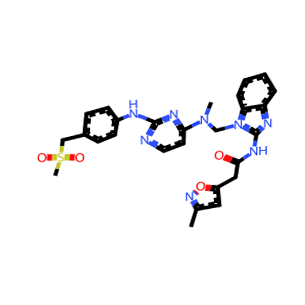 Cc1cc(CC(=O)Nc2nc3ccccc3n2CN(C)c2ccnc(Nc3ccc(CS(C)(=O)=O)cc3)n2)on1